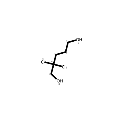 OCCCC(Cl)(Cl)CO